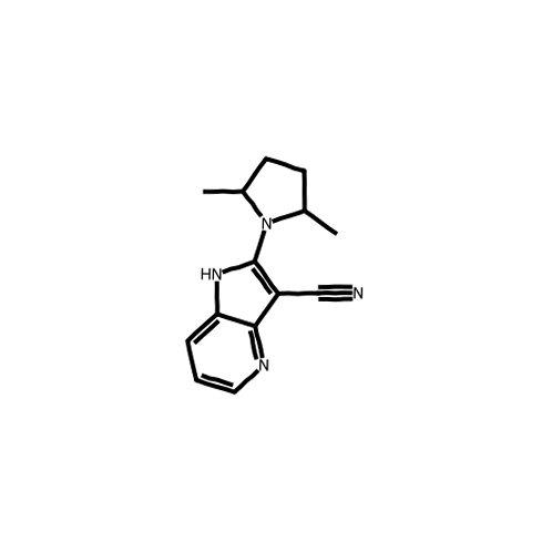 CC1CCC(C)N1c1[nH]c2cccnc2c1C#N